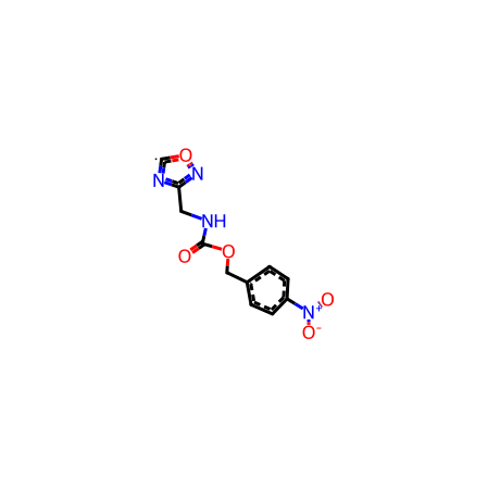 O=C(NCc1n[c]on1)OCc1ccc([N+](=O)[O-])cc1